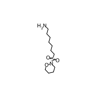 NCCCCCCCS(=O)(=O)N1CCCCO1